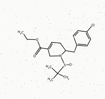 CCOC(=O)C1=CCC(Cc2ccc(Cl)cc2)N([S+]([O-])C(C)(C)C)C1